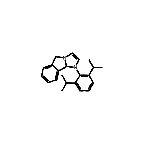 CC(C)c1cccc(C(C)C)c1N1C=CN2Cc3ccccc3C21